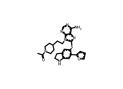 CC(=O)N1CCC(CCn2c(Sc3cc4c(cc3-c3ccco3)NCC4)nc3c(N)ncnc32)CC1